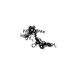 COc1cc2c(cc1OCCCCCC(=O)N1C[C@@H](Cl)c3c1cc(OC(=O)N1CCN(C)CC1)c1ccccc31)N(C(=O)OCC(C)SS)C(O)[C@@H]1CCCN1C2=O